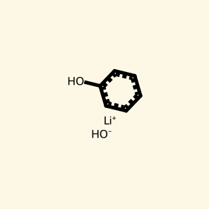 Oc1ccccc1.[Li+].[OH-]